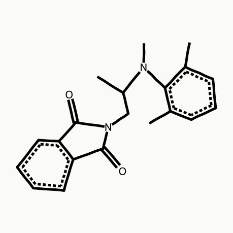 Cc1cccc(C)c1N(C)C(C)CN1C(=O)c2ccccc2C1=O